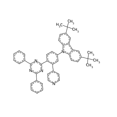 CC(C)(C)c1ccc2c(c1)c1cc(C(C)(C)C)ccc1n2-c1ccc(-c2nc(-c3ccccc3)nc(-c3ccccc3)n2)c(-c2ccncc2)c1